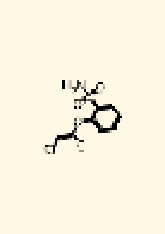 NS(=O)(=O)c1ccccc1OC(Cl)=CCl